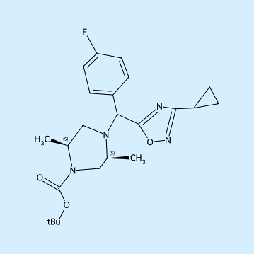 C[C@H]1CN(C(c2ccc(F)cc2)c2nc(C3CC3)no2)[C@@H](C)CN1C(=O)OC(C)(C)C